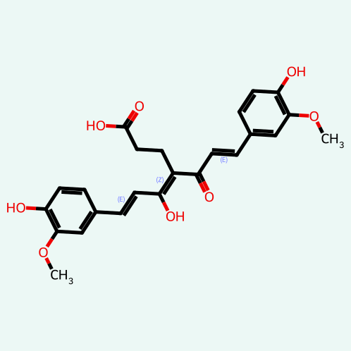 COc1cc(/C=C/C(=O)/C(CCC(=O)O)=C(O)/C=C/c2ccc(O)c(OC)c2)ccc1O